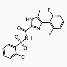 Cc1[nH]c(C(=O)NS(=O)(=O)c2ccccc2Cl)nc1-c1c(F)cccc1F